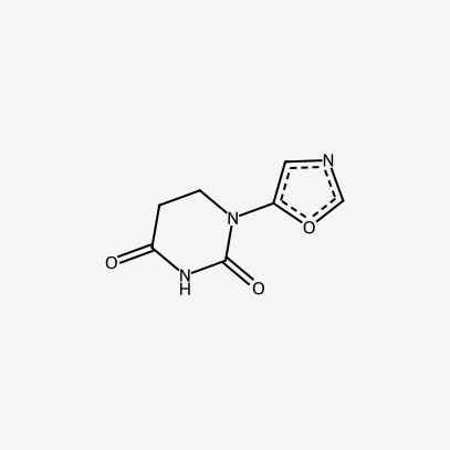 O=C1CCN(c2cnco2)C(=O)N1